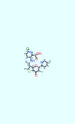 Cc1sc2c(=O)c(C)c(-c3ccc(F)cn3)oc2c1C(C)Nc1ccc(Cl)nc1C(=O)O